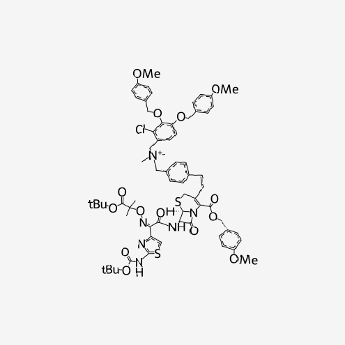 COc1ccc(COC(=O)C2=C(/C=C\c3ccc(C[N+](C)(C)Cc4ccc(OCc5ccc(OC)cc5)c(OCc5ccc(OC)cc5)c4Cl)cc3)CS[C@@H]3[C@H](NC(=O)/C(=N\OC(C)(C)C(=O)OC(C)(C)C)c4csc(NC(=O)OC(C)(C)C)n4)C(=O)N23)cc1